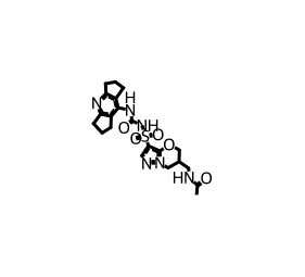 CC(=O)NCC1COc2c(S(=O)(=O)NC(=O)Nc3c4c(nc5c3CCC5)CCC4)cnn2C1